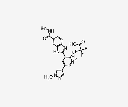 CC(C)NC(=O)c1ccc2nc(-c3cc(-c4cnn(C)c4)cnc3N)[nH]c2c1.O=C(O)C(F)(F)F